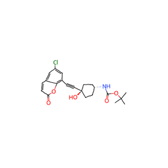 CC(C)(C)OC(=O)N[C@H]1CC[C@@](O)(C#Cc2cc(Cl)cc3ccc(=O)oc23)CC1